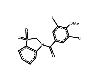 COc1c(Cl)cc(C(=O)N2CS(=O)(=O)c3ccccc32)cc1I